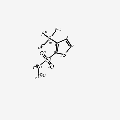 CC(C)(C)NS(=O)(=O)c1sccc1[B-](F)(F)F